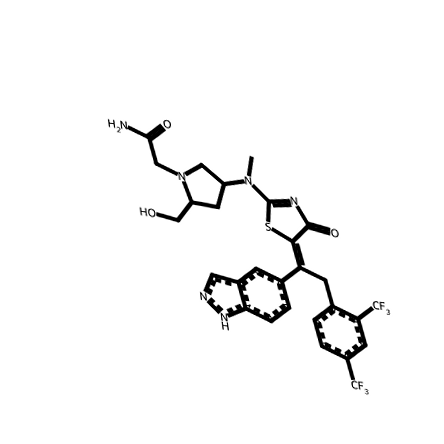 CN(C1=NC(=O)C(=C(Cc2ccc(C(F)(F)F)cc2C(F)(F)F)c2ccc3[nH]ncc3c2)S1)C1CC(CO)N(CC(N)=O)C1